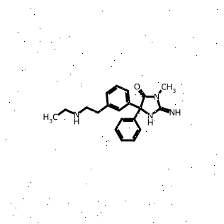 CCNCCc1cccc(C2(c3ccccc3)NC(=N)N(C)C2=O)c1